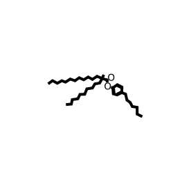 CCCCCCCCCCCCC(C)(CCCCCCCCCC)C(=O)Oc1ccc(CCCCCCC)cc1